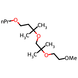 CCCOCCC(C)(C)OCC(C)(C)OCCOC